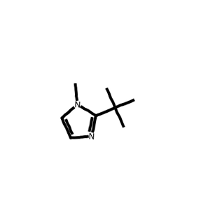 Cn1ccnc1C(C)(C)C